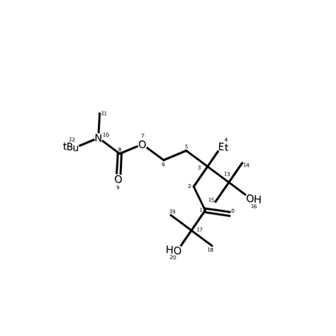 C=C(CC(CC)(CCOC(=O)N(C)C(C)(C)C)C(C)(C)O)C(C)(C)O